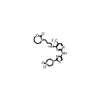 O=C1OCCCCN1CCCNc1nc(Nc2csc(N3CCS(=O)(=O)CC3)n2)ncc1C(F)(F)F